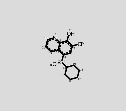 [O-][S+](c1cc(Cl)c(O)c2ncccc12)C1CCCCC1